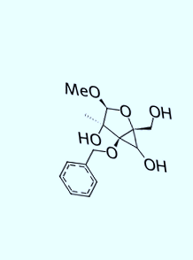 CO[C@H]1O[C@]2(CO)C(O)[C@]2(OCc2ccccc2)[C@@]1(C)O